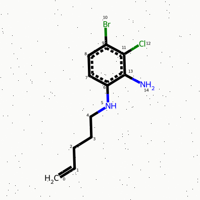 C=CCCCNc1ccc(Br)c(Cl)c1N